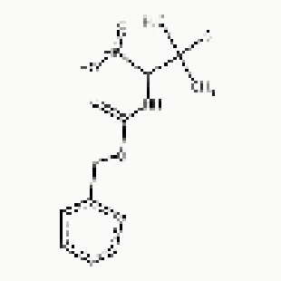 CC(C)(S)C(NC(=O)OCc1ccccc1)[PH](=O)O